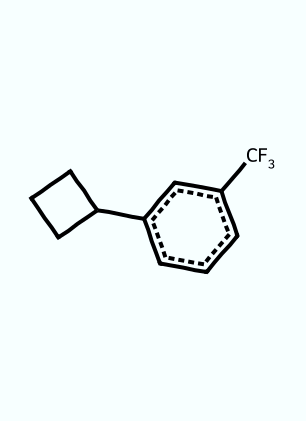 FC(F)(F)c1cccc(C2CCC2)c1